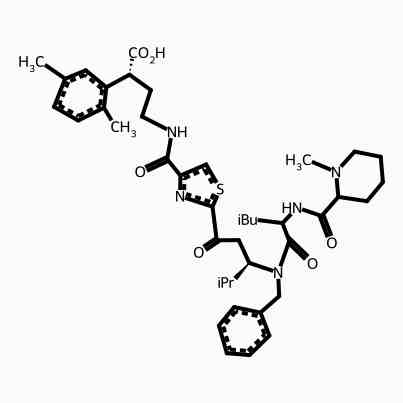 CCC(C)C(NC(=O)C1CCCCN1C)C(=O)N(Cc1ccccc1)[C@H](CC(=O)c1nc(C(=O)NCC[C@@H](C(=O)O)c2cc(C)ccc2C)cs1)C(C)C